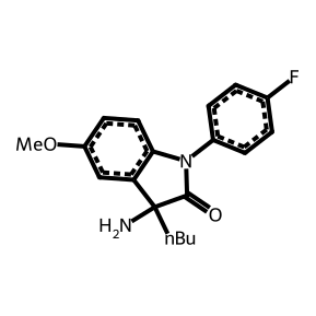 CCCCC1(N)C(=O)N(c2ccc(F)cc2)c2ccc(OC)cc21